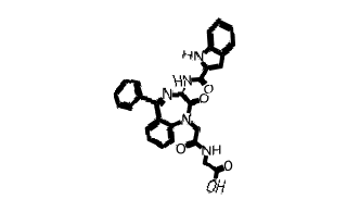 O=C(O)CNC(=O)CN1C(=O)[C@@H](NC(=O)c2cc3ccccc3[nH]2)N=C(c2ccccc2)c2ccccc21